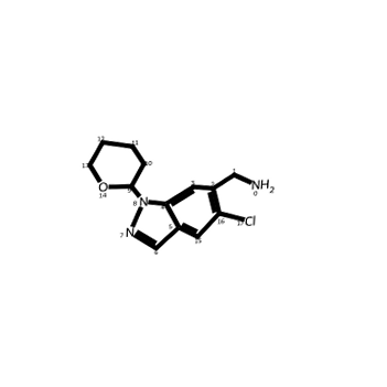 NCc1cc2c(cnn2C2CCCCO2)cc1Cl